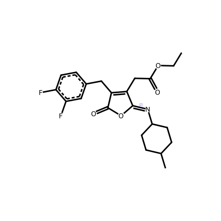 CCOC(=O)CC1=C(Cc2ccc(F)c(F)c2)C(=O)O/C1=N\C1CCC(C)CC1